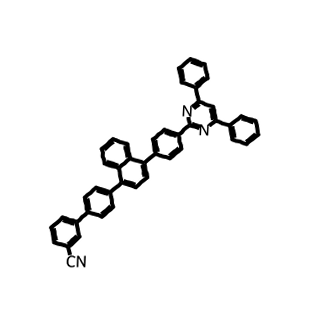 N#Cc1cccc(-c2ccc(-c3ccc(-c4ccc(-c5nc(-c6ccccc6)cc(-c6ccccc6)n5)cc4)c4ccccc34)cc2)c1